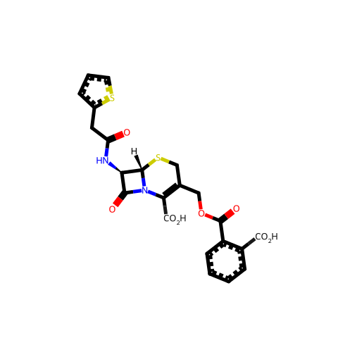 O=C(Cc1cccs1)N[C@@H]1C(=O)N2C(C(=O)O)=C(COC(=O)c3ccccc3C(=O)O)CS[C@@H]12